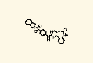 CN1C(=O)Cc2cnc(Nc3ccc(S(=O)(=O)N4Cc5ccccc5C4)cc3)nc2-c2ccccc21